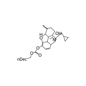 C=C1CC[C@@]2(O)C3CC4C=CC(OC(=O)OCCCCCCCCCCC)=C5O[C@@H]1[C@]2(CCN3CC1CC1)C54